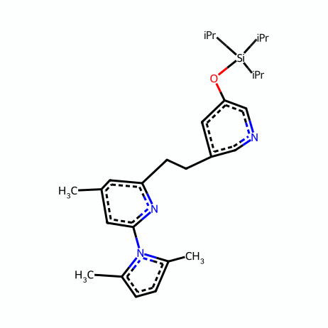 Cc1cc(CCc2cncc(O[Si](C(C)C)(C(C)C)C(C)C)c2)nc(-n2c(C)ccc2C)c1